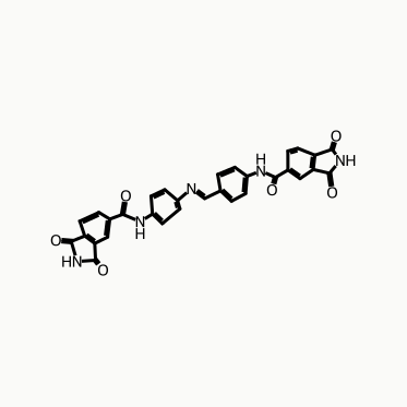 O=C(Nc1ccc(/C=N/c2ccc(NC(=O)c3ccc4c(c3)C(=O)NC4=O)cc2)cc1)c1ccc2c(c1)C(=O)NC2=O